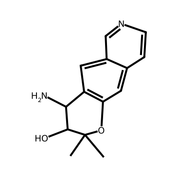 CC1(C)Oc2cc3ccncc3cc2C(N)C1O